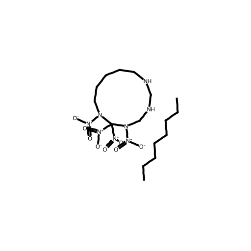 CCCCCCCC.O=[N+]([O-])N1CCCCCNCNCN([N+](=O)[O-])C1([N+](=O)[O-])[N+](=O)[O-]